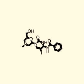 CN1CC(CO)OC(N2C=C(I)C(NC(=O)c3ccccc3)NC2=O)C1